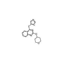 c1ccc2c(Sc3cncs3)nc(OC3CCOCC3)nc2c1